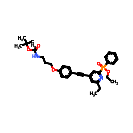 CCOP(=O)(c1ccccc1)c1cc(C#Cc2ccc(OCCCNC(=O)OC(C)(C)C)cc2)cc(CC)n1